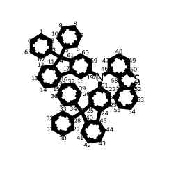 c1ccc(C2(c3ccccc3)c3ccccc3-c3cc(N(c4ccc5c(c4)C(c4ccccc4)(c4ccccc4)c4ccccc4-5)c4cccc5sc6ccccc6c45)ccc32)cc1